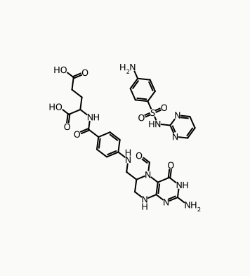 Nc1ccc(S(=O)(=O)Nc2ncccn2)cc1.Nc1nc2c(c(=O)[nH]1)N(C=O)C(CNc1ccc(C(=O)NC(CCC(=O)O)C(=O)O)cc1)CN2